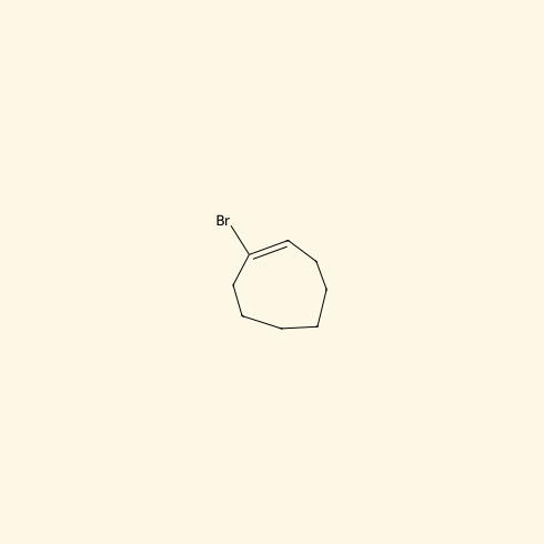 BrC1=CCCCCCC1